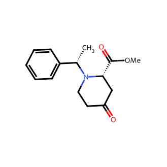 COC(=O)[C@@H]1CC(=O)CCN1[C@@H](C)c1ccccc1